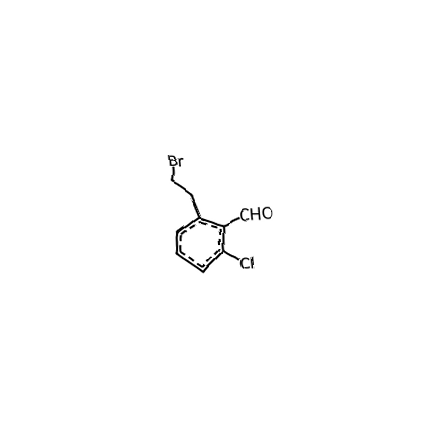 O=Cc1c(Cl)cccc1CCBr